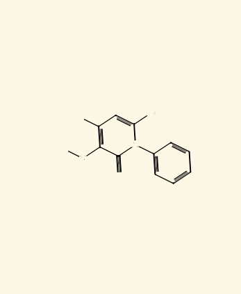 Cc1cc(O)n(-c2ccccc2)c(=O)c1NC=O